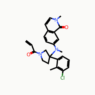 C=CC(=O)N1CCC(c2cccc(Cl)c2C)(N(C)c2ccc3ccn(C)c(=O)c3c2)C1